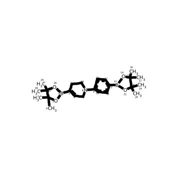 CC1(C)OB(C2=CCN(c3ccc(B4OC(C)(C)C(C)(C)O4)cc3)CC2)OC1(C)C